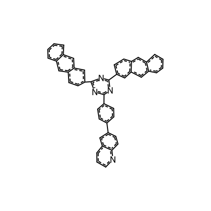 c1ccc2cc3cc(-c4nc(-c5ccc(-c6ccc7ncccc7c6)cc5)nc(-c5ccc6cc7ccccc7cc6c5)n4)ccc3cc2c1